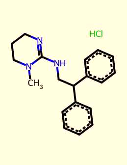 CN1CCCN=C1NCC(c1ccccc1)c1ccccc1.Cl